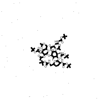 CCC1O[C@H](O[C@@H]2C(F)C(O[C@H]3OC(CNC(=O)OC(C)(C)C)CCC3NC(=O)OC(C)(C)C)[C@H](NC(=O)OC(C)(C)C)C[C@H]2NC(=O)[C@H](CCNC(=O)OC(C)(C)C)OC(C)=O)C(OC(C)=O)[C@@H](NC(=O)OC(C)(C)C)[C@H]1OC(C)=O